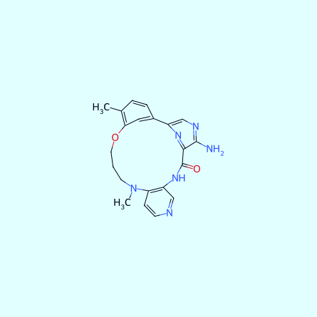 Cc1ccc2cc1OCCCN(C)c1ccncc1NC(=O)c1nc-2cnc1N